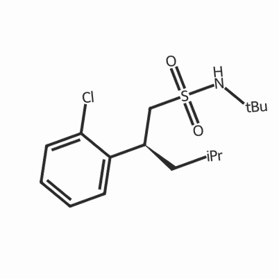 CC(C)C[C@H](CS(=O)(=O)NC(C)(C)C)c1ccccc1Cl